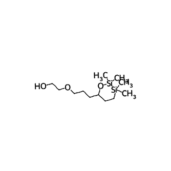 C[Si]1(C)CCC(CCCOCCO)O[Si]1(C)C